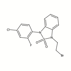 O=S1(=O)N(CCBr)c2ccccc2N1c1ccc(Cl)cc1F